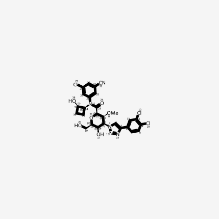 CO[C@@H]1[C@@H](n2cc(-c3ccc(Cl)c(Cl)c3)nn2)[C@@H](O)[C@@H](CO)O[C@H]1C(=O)N(c1cc(Cl)cc(C#N)c1)[C@H]1CC[C@@H]1O